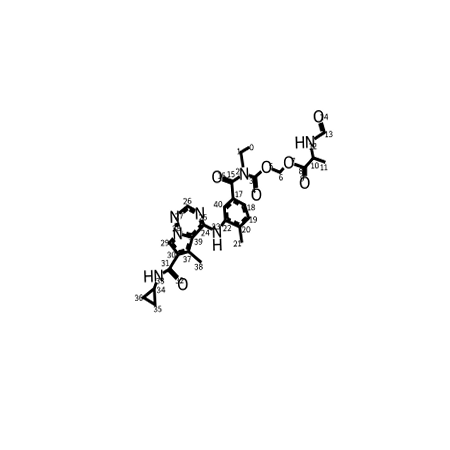 CCN(C(=O)OCOC(=O)C(C)NC=O)C(=O)c1ccc(C)c(Nc2ncnn3cc(C(=O)NC4CC4)c(C)c23)c1